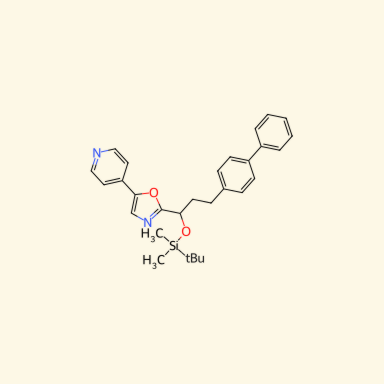 CC(C)(C)[Si](C)(C)OC(CCc1ccc(-c2ccccc2)cc1)c1ncc(-c2ccncc2)o1